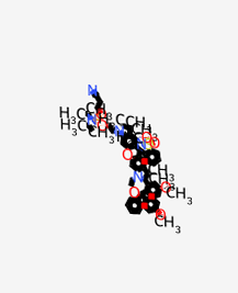 COc1ccc(C2(c3ccccc3)OCCN3c4cc5c(cc4C(C)(C)C3c3cc(OC)ccc32)C2(c3cc4c(cc3O5)N(CCOP(OCCC#N)N(C(C)C)C(C)C)C(C)C4(C)C)c3ccccc3S(=O)(=O)N2C)cc1